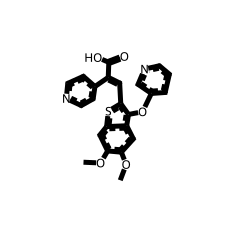 COc1cc2sc(/C=C(/C(=O)O)c3ccncc3)c(Oc3cccnc3)c2cc1OC